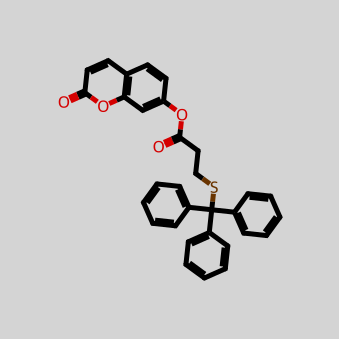 O=C(CCSC(c1ccccc1)(c1ccccc1)c1ccccc1)Oc1ccc2ccc(=O)oc2c1